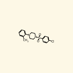 Cc1ccccc1N1CCN(S(=O)(=O)c2ccc(Cl)cc2)CC1